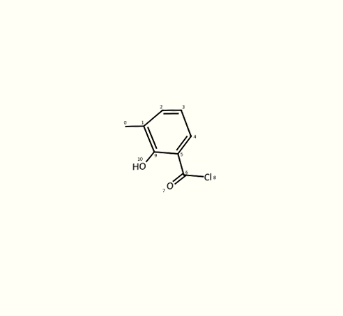 Cc1cccc(C(=O)Cl)c1O